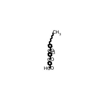 CCCCCCCCc1ccc(C(=O)Oc2ccc(C(=O)Oc3ccc(C(=O)O)cc3)cc2)cc1.Cl